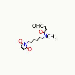 CN(CCCCCCN1C(=O)C=CC1=O)C(=O)/C=C\C=O